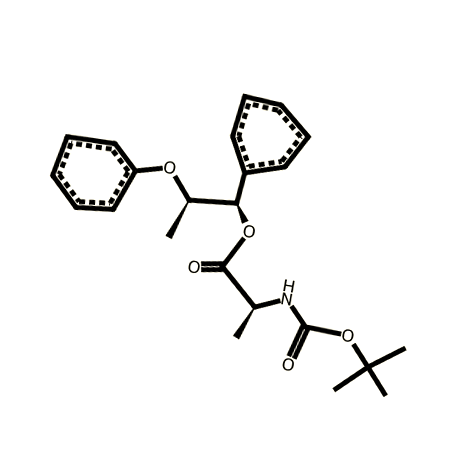 C[C@H](NC(=O)OC(C)(C)C)C(=O)O[C@H](c1ccccc1)[C@@H](C)Oc1ccccc1